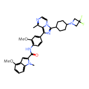 COc1cc(-c2nc(C3CCC(N4CC(F)(F)C4)CC3)n3ccnc(C)c23)ccc1NC(=O)c1cc2c(OC)cccc2n1C